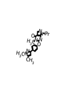 Cc1cc(-c2ccc(Oc3nc4c(cnn4C(C)C)c(=O)n3C)cc2)nn1C